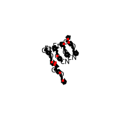 CCC(=O)c1ccc(OCCCN2CCCC(C)C2)cc1.CCC1CCC(C)N(CCCOc2ccc(C#N)cc2)C1.CCC1CCC(C)N(CCCOc2ccc(C#N)cc2)C1.O=C(c1ccc(OCCCN2CCCCC2)cc1)C1CCC1.O=C(c1ccc(OCCCN2CCCCC2)cc1)C1CCCC1